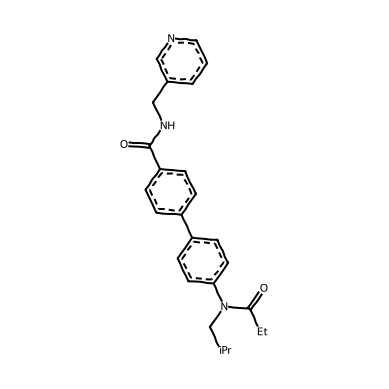 CCC(=O)N(CC(C)C)c1ccc(-c2ccc(C(=O)NCc3cccnc3)cc2)cc1